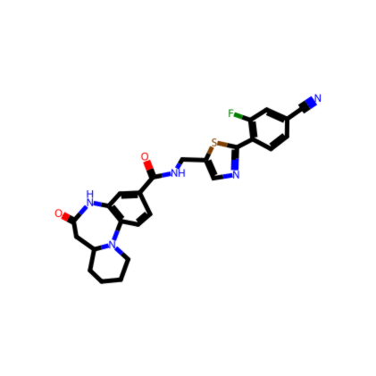 N#Cc1ccc(-c2ncc(CNC(=O)c3ccc4c(c3)NC(=O)CC3CCCCN43)s2)c(F)c1